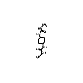 NNC(=O)NC1CCC(NC(=O)NN)CC1